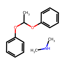 CC(Oc1ccccc1)Oc1ccccc1.CNC